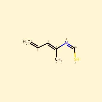 C=C/C=C(C)/N=C\S